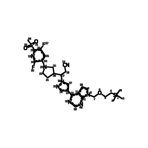 C[Si](C)(C)CCOCn1ccc2c(-c3cnn(C(CC#N)C4CCN(c5cc(F)c(S(C)(=O)=O)nc5F)C4)c3)ncnc21